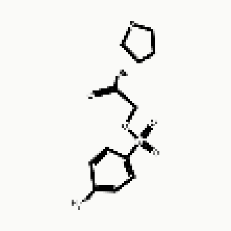 C1CCSC1.Cc1ccc(S(=O)(=O)OCC(=O)C(C)(C)C)cc1